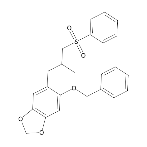 CC(Cc1cc2c(cc1OCc1ccccc1)OCO2)CS(=O)(=O)c1ccccc1